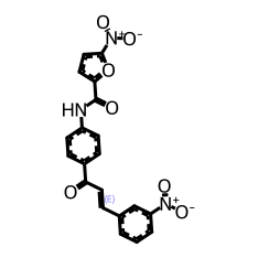 O=C(/C=C/c1cccc([N+](=O)[O-])c1)c1ccc(NC(=O)c2ccc([N+](=O)[O-])o2)cc1